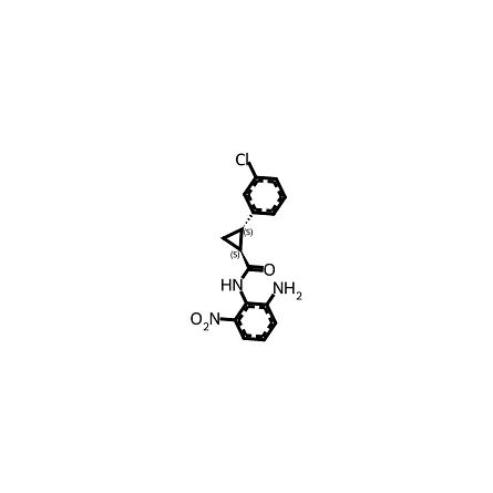 Nc1cccc([N+](=O)[O-])c1NC(=O)[C@H]1C[C@@H]1c1cccc(Cl)c1